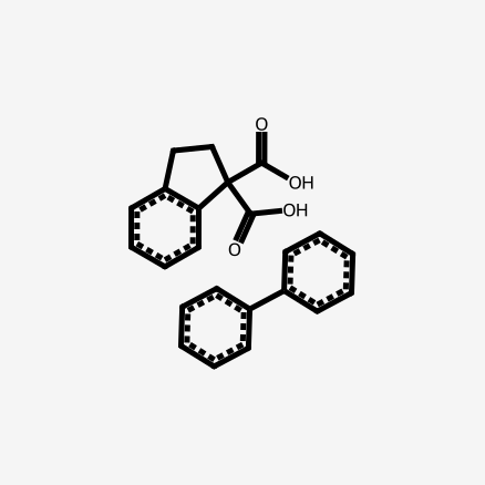 O=C(O)C1(C(=O)O)CCc2ccccc21.c1ccc(-c2ccccc2)cc1